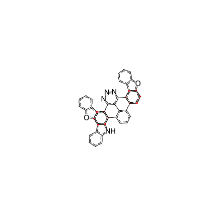 c1ccc(-c2cccc(-c3cccc4c3[nH]c3ccccc34)c2-c2c(-c3cccc4oc5ccccc5c34)nnnc2-c2cccc3oc4ccccc4c23)cc1